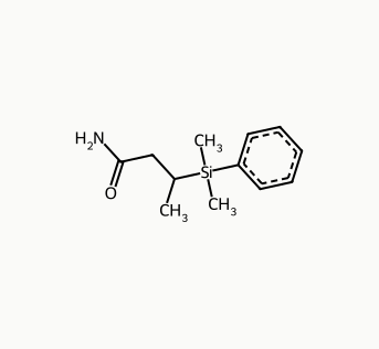 CC(CC(N)=O)[Si](C)(C)c1ccccc1